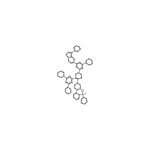 CC1(c2ccccc2)Oc2cc(-c3ccc(-c4nc(-c5ccccc5)nc(-c5ccc6ccn(-c7ccccc7)c6c5)n4)cc3-c3nc(-c4ccccc4)nc(-c4ccccc4)n3)ccc2-c2ccccc21